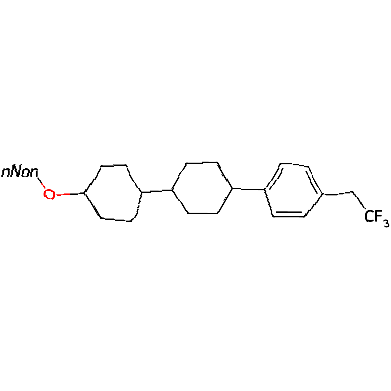 CCCCCCCCCOC1CCC(C2CCC(c3ccc(CC(F)(F)F)cc3)CC2)CC1